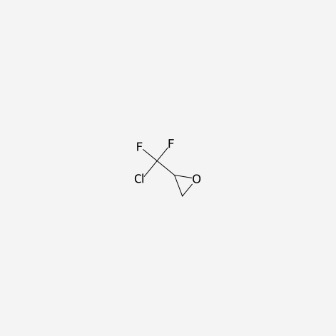 FC(F)(Cl)C1CO1